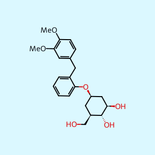 COc1ccc(Cc2ccccc2O[C@@H]2C[C@H](CO)[C@@H](O)[C@H](O)C2)cc1OC